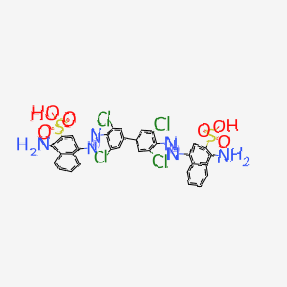 Nc1c(S(=O)(=O)O)cc(/N=N/c2c(Cl)cc(-c3cc(Cl)c(/N=N/c4cc(S(=O)(=O)O)c(N)c5ccccc45)c(Cl)c3)cc2Cl)c2ccccc12